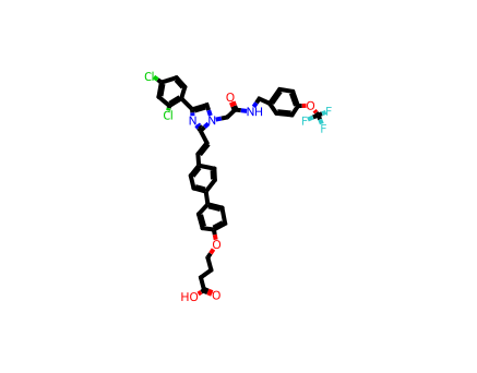 O=C(O)CCCOc1ccc(-c2ccc(C=Cc3nc(-c4ccc(Cl)cc4Cl)cn3CC(=O)NCc3ccc(OC(F)(F)F)cc3)cc2)cc1